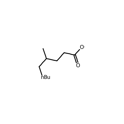 CCCCCC(C)CCC([O])=O